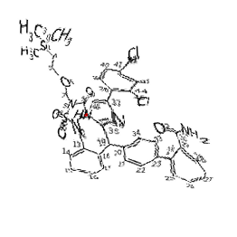 C[Si](C)(C)CCOCN1C(=O)CN(c2ccccc2C(c2ccc(-c3cc[c]cc3C(N)=O)cc2)c2nc(-c3ccc(Cl)cc3Cl)c[nH]2)S1(=O)=O